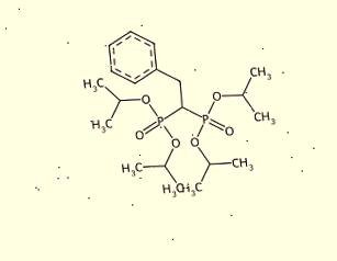 CC(C)OP(=O)(OC(C)C)C(Cc1cc[c]cc1)P(=O)(OC(C)C)OC(C)C